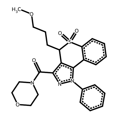 COCCCC1c2c(C(=O)N3CCOCC3)nn(-c3ccccc3)c2-c2ccccc2S1(=O)=O